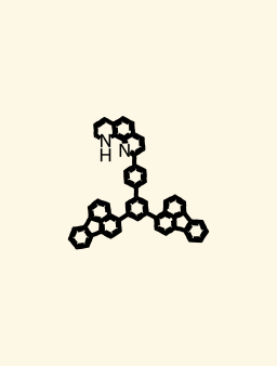 C1=Cc2ccc3ccc(-c4ccc(-c5cc(-c6ccc7c8c(cccc68)-c6ccccc6-7)cc(-c6ccc7c8c(cccc68)-c6ccccc6-7)c5)cc4)nc3c2NC1